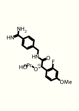 CCCO[C@H](C(=O)NCc1ccc(C(=N)N)cc1)c1ccc(OC)cc1F.Cl